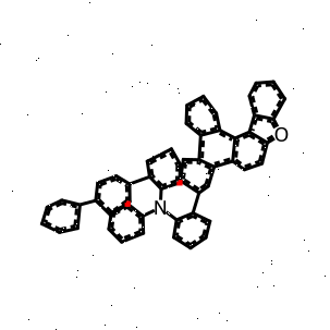 c1ccc(-c2ccc(-c3ccccc3N(c3ccccc3)c3ccccc3-c3ccc4c5ccccc5c5c(ccc6oc7ccccc7c65)c4c3)cc2)cc1